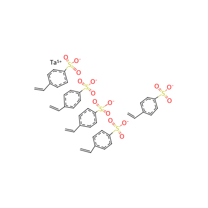 C=Cc1ccc(S(=O)(=O)[O-])cc1.C=Cc1ccc(S(=O)(=O)[O-])cc1.C=Cc1ccc(S(=O)(=O)[O-])cc1.C=Cc1ccc(S(=O)(=O)[O-])cc1.C=Cc1ccc(S(=O)(=O)[O-])cc1.[Ta+5]